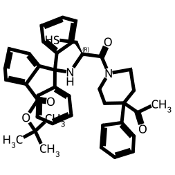 CC(=O)C1(c2ccccc2)CCN(C(=O)[C@H](CS)NC(c2ccccc2)(c2ccccc2)c2ccccc2C(=O)OC(C)(C)C)CC1